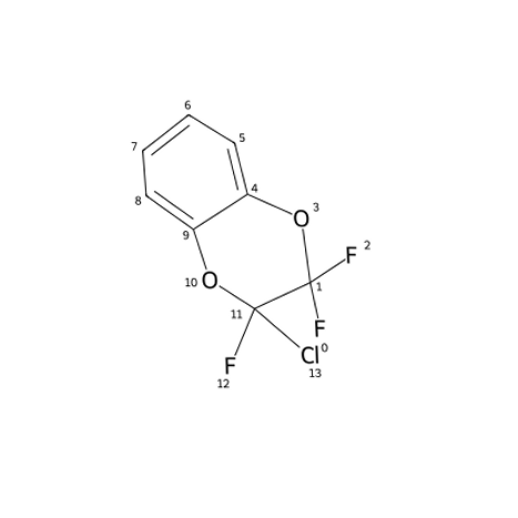 FC1(F)Oc2ccccc2OC1(F)Cl